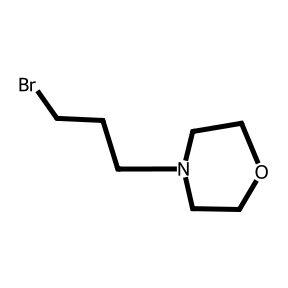 BrCCCN1CCOCC1